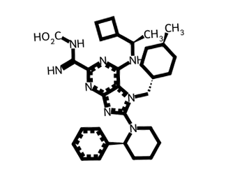 C[C@@H](Nc1nc(C(=N)NC(=O)O)nc2nc(N3CCCC[C@H]3c3ccccc3)n(C[C@H]3CC[C@H](C)CC3)c12)C1CCC1